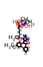 COc1ccc(-c2c(-c3ccccc3)oc3ncnc(OC(C)CCCCC(=O)ON(C(C)O)C(C)O)c23)cc1